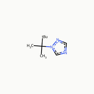 CC(C)(C)C(C)(C)n1cncn1